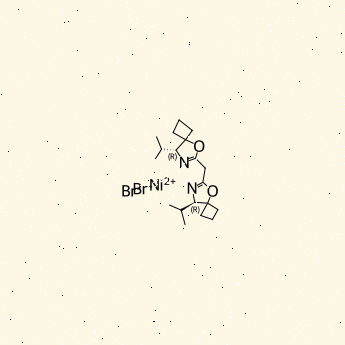 CC(C)[C@H]1N=C(CC2=N[C@H](C(C)C)C3(CCC3)O2)OC12CCC2.[Br-].[Br-].[Ni+2]